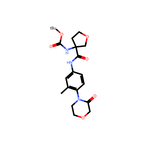 Cc1cc(NC(=O)C2(NC(=O)OC(C)(C)C)CCOC2)ccc1N1CCOCC1=O